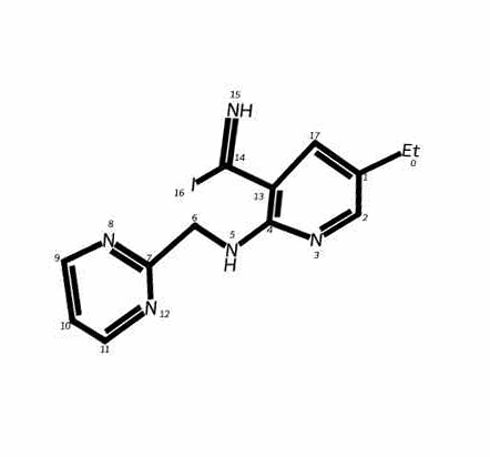 CCc1cnc(NCc2ncccn2)c(C(=N)I)c1